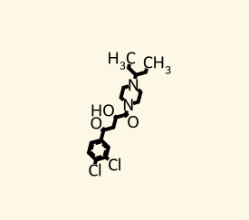 CCC(CC)N1CCN(C(=O)C(O)CC(=O)c2ccc(Cl)c(Cl)c2)CC1